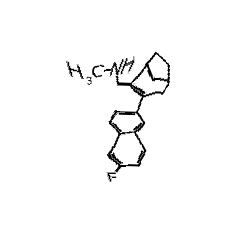 CNCC1=C(c2ccc3cc(F)ccc3c2)CC2CCC1C2